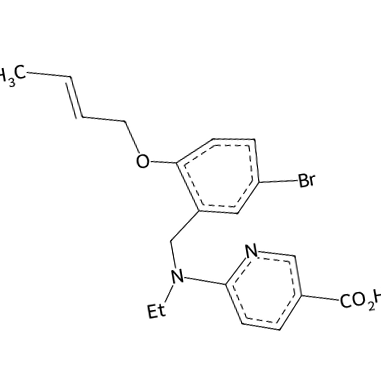 CC=CCOc1ccc(Br)cc1CN(CC)c1ccc(C(=O)O)cn1